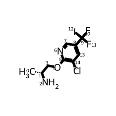 C[C@@H](N)COc1ncc(C(F)(F)I)cc1Cl